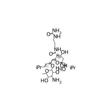 CC(C)/C=C/[C@@H](C[C@@H]1O[C@](O)(C[C@@H](O)C(C)C)C[C@H](O)[C@H]1C(=O)NCCCNC(N)=O)OC1OC(C)C(O)C(N)C1O